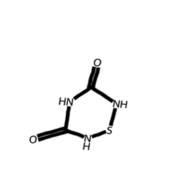 O=C1NSNC(=O)N1